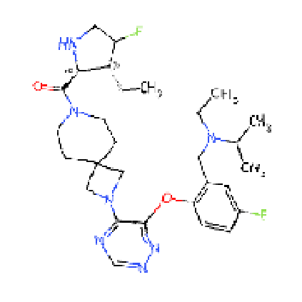 CC[C@H]1C(F)CN[C@@H]1C(=O)N1CCC2(CC1)CN(c1ncnnc1Oc1ccc(F)cc1CN(CC)C(C)C)C2